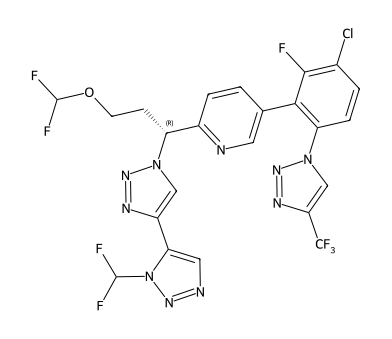 Fc1c(Cl)ccc(-n2cc(C(F)(F)F)nn2)c1-c1ccc([C@@H](CCOC(F)F)n2cc(-c3cnnn3C(F)F)nn2)nc1